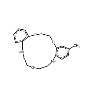 Cc1ccc2c(c1)OCCOc1ccccc1NCCOCCN2